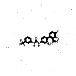 Nc1noc2c(F)ccc(-c3ccc(NC(=O)Nc4cccc(C(F)(F)F)c4)cc3)c12